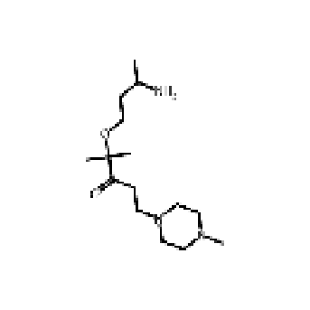 CC(N)CCOC(C)(C)C(=O)CCN1CCN(C)CC1